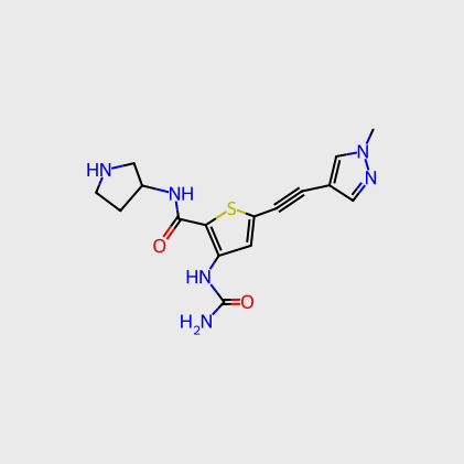 Cn1cc(C#Cc2cc(NC(N)=O)c(C(=O)NC3CCNC3)s2)cn1